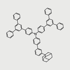 c1ccc(-c2cc(-c3ccccc3)cc(-c3ccc(N(c4ccc(-c5cc(-c6ccccc6)cc(-c6ccccc6)c5)cc4)c4ccc(-c5cccc(C67CC8CC(CC(C8)C6)C7)c5)cc4)cc3)c2)cc1